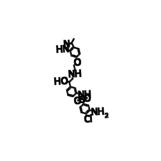 Cc1n[nH]c2cc(OCCNC[C@H](O)c3cccc(NS(=O)(=O)c4ccc(Cl)c(N)c4)c3)ccc12